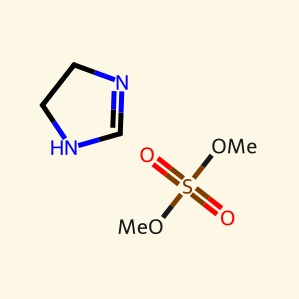 C1=NCCN1.COS(=O)(=O)OC